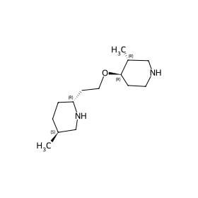 C[C@H]1CC[C@H](CCO[C@@H]2CCNC[C@H]2C)NC1